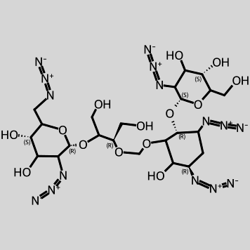 [N-]=[N+]=NCC1O[C@H](OC(CO)[C@@H](CO)OCOC2C(O)[C@H](N=[N+]=[N-])CC(N=[N+]=[N-])[C@H]2O[C@H]2OC(CO)[C@@H](O)C(O)C2N=[N+]=[N-])C(N=[N+]=[N-])C(O)[C@@H]1O